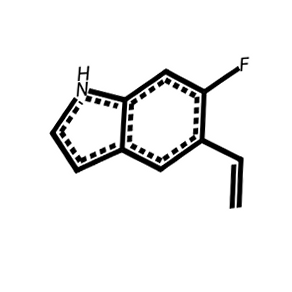 C=Cc1cc2cc[nH]c2cc1F